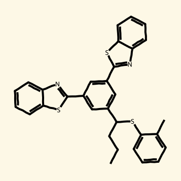 CCCC(Sc1ccccc1C)c1cc(-c2nc3ccccc3s2)cc(-c2nc3ccccc3s2)c1